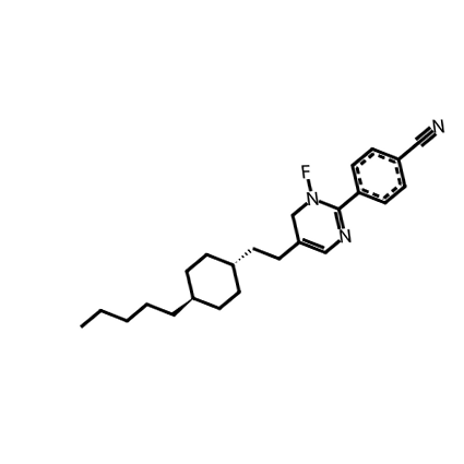 CCCCC[C@H]1CC[C@H](CCC2=CN=C(c3ccc(C#N)cc3)N(F)C2)CC1